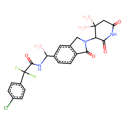 BC(NC(=O)C(F)(F)c1ccc(Cl)cc1)c1ccc2c(c1)CN(C1C(=O)NC(=O)CC1(B)B)C2=O